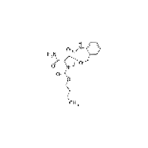 CCCCOC(=O)N1C[C@@]2(C[C@H]1C(N)=O)OCc1ccccc1NC2=O